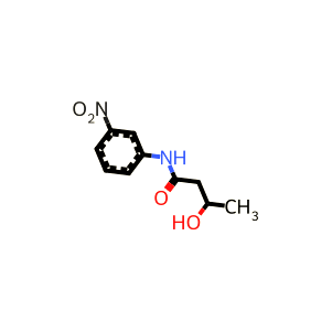 CC(O)CC(=O)Nc1cccc([N+](=O)[O-])c1